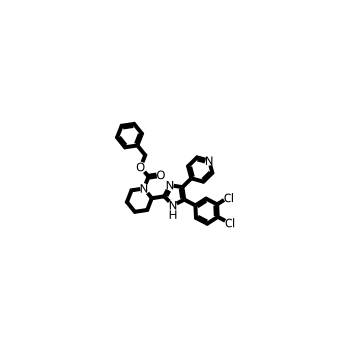 O=C(OCc1ccccc1)N1CCCCC1c1nc(-c2ccncc2)c(-c2ccc(Cl)c(Cl)c2)[nH]1